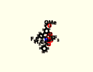 COC(=O)Cc1ccc(OS(=O)(=O)C(F)(F)F)c(-c2ccc(C(F)(F)F)cc2CN2C(=O)O[C@H](c3ccccc3)[C@@H]2C)c1